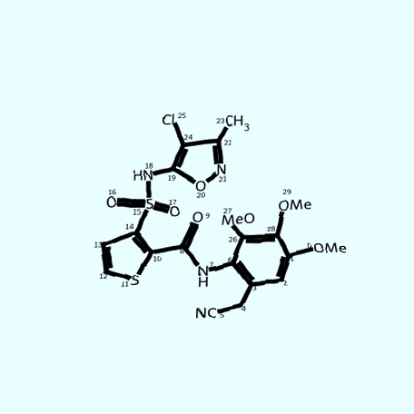 COc1cc(CC#N)c(NC(=O)c2sccc2S(=O)(=O)Nc2onc(C)c2Cl)c(OC)c1OC